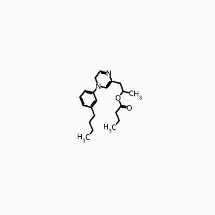 CCCCc1cccc(N2C=C(CC(C)OC(=O)CCC)N=CC2)c1